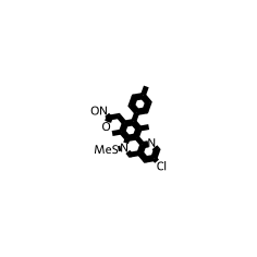 CSN1Cc2cc(Cl)cnc2-c2c(C)c(-c3ccc(C)cc3)c(CC(=O)N=O)c(C)c21